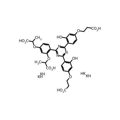 CC(Oc1ccc(-c2nc(-c3ccc(OCCC(=O)O)cc3O)nc(-c3ccc(OCCC(=O)O)cc3O)n2)c(OC(C)C(=O)O)c1)C(=O)O.[KH].[KH].[KH].[KH]